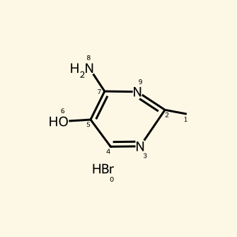 Br.Cc1ncc(O)c(N)n1